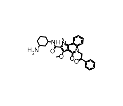 COc1c(C(=O)NC2CCCC(N)C2)n(C)c2c1c(=O)n(CC(=O)c1ccccc1)c1ccccc21